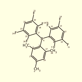 Cc1cc(C)c(B(c2c(F)c(F)cc(F)c2F)c2c(F)c(F)cc(F)c2F)c(C)c1